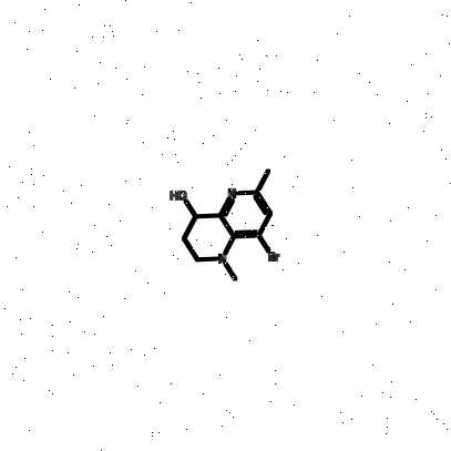 Cc1cc(Br)c2c(n1)C(O)CCN2C